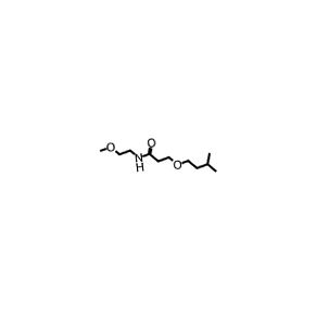 COCCNC(=O)CCOCCC(C)C